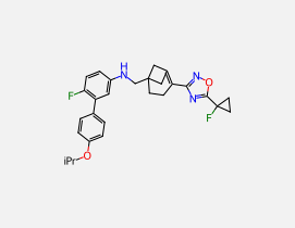 CC(C)Oc1ccc(-c2cc(NCC34CCC(c5noc(C6(F)CC6)n5)=C(C3)C4)ccc2F)cc1